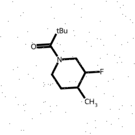 CC1CCN(C(=O)C(C)(C)C)CC1F